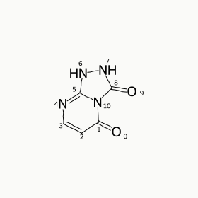 O=c1ccnc2[nH][nH]c(=O)n12